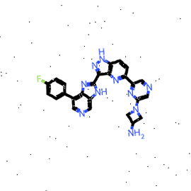 NC1CN(c2cncc(-c3ccc4[nH]nc(-c5nc6c(-c7ccc(F)cc7)cncc6[nH]5)c4n3)n2)C1